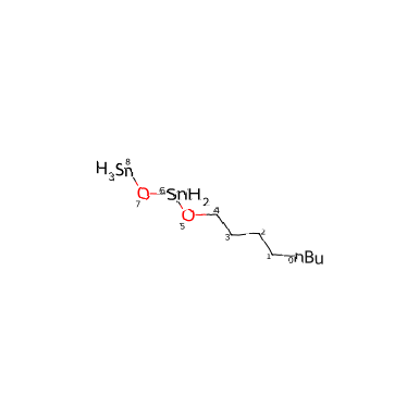 CCCCCCCC[O][SnH2][O][SnH3]